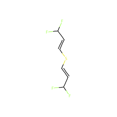 FC(F)C=CSC=CC(F)F